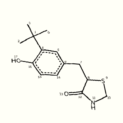 CC(C)(C)c1cc(CC2SCNC2=O)ccc1O